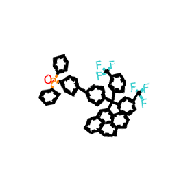 O=P(c1ccccc1)(c1ccccc1)c1ccc(-c2ccc(C(c3cccc(C(F)(F)F)c3)(c3cccc(C(F)(F)F)c3)c3cc4cccc5ccc6cccc3c6c54)cc2)cc1